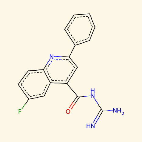 N=C(N)NC(=O)c1cc(-c2ccccc2)nc2ccc(F)cc12